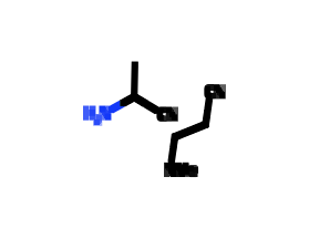 CC(N)C#N.CNCCC#N